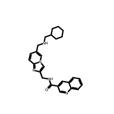 O=C(NCc1cn2cc(CNCC3CCCCC3)ccc2n1)c1cnc2ccccc2c1